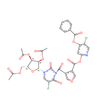 CC(=O)OC[C@H]1O[C@@H](n2cc(F)c(=O)n(C(=O)c3cocc3C(=O)Oc3cc(OC(=O)c4ccccc4)c(Cl)cn3)c2=O)[C@H](OC(C)=O)[C@@H]1OC(C)=O